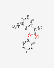 CCC(C(=O)Oc1ccccc1)c1cccc([N+](=O)[O-])c1